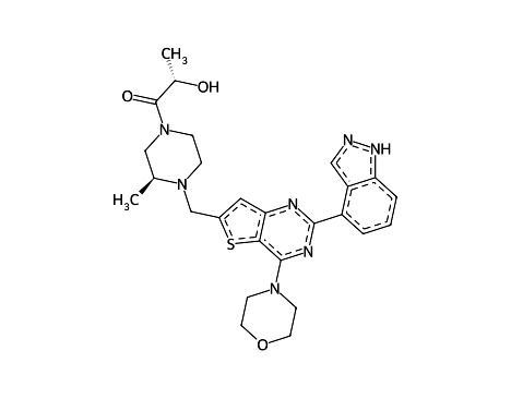 C[C@H](O)C(=O)N1CCN(Cc2cc3nc(-c4cccc5[nH]ncc45)nc(N4CCOCC4)c3s2)[C@@H](C)C1